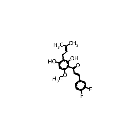 COc1cc(O)c(CC=C(C)C)c(O)c1C(=O)C=Cc1ccc(F)c(F)c1